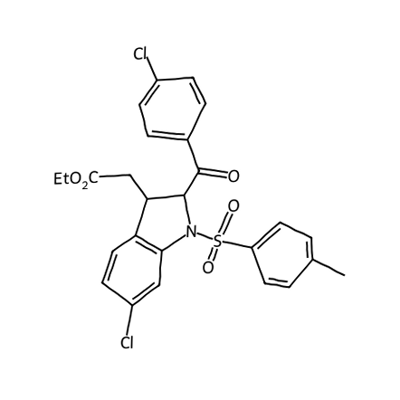 CCOC(=O)CC1c2ccc(Cl)cc2N(S(=O)(=O)c2ccc(C)cc2)C1C(=O)c1ccc(Cl)cc1